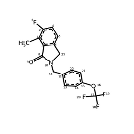 Cc1c(F)ccc2c1C(=O)N(Cc1ccc(OC(F)(F)F)cc1)C2